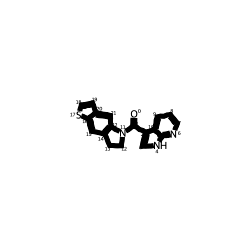 O=C(c1c[nH]c2ncccc12)N1CCc2cc3sccc3cc21